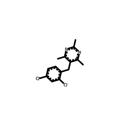 Cc1nc(C)c(Cc2ccc(Cl)cc2Cl)c(C)n1